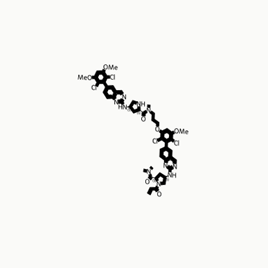 C=CC(=O)N1C[C@@H](Nc2ncc3cc(-c4c(Cl)c(OC)cc(OCCCN(C)C(=O)[C@@H]5C[C@H](Nc6ncc7cc(-c8c(Cl)c(OC)cc(OC)c8Cl)ccc7n6)CN5)c4Cl)ccc3n2)C[C@H]1C(=O)N(C)C